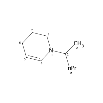 CCCC(C)N1C=CCCC1